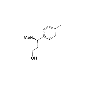 CN[C@H](CCO)c1ccc(C)cc1